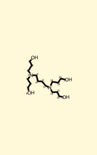 OCCCN(CCCO)CCCCN(CCCO)CCCO